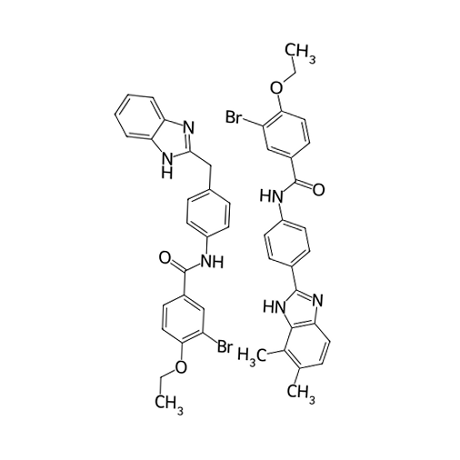 CCOc1ccc(C(=O)Nc2ccc(-c3nc4ccc(C)c(C)c4[nH]3)cc2)cc1Br.CCOc1ccc(C(=O)Nc2ccc(Cc3nc4ccccc4[nH]3)cc2)cc1Br